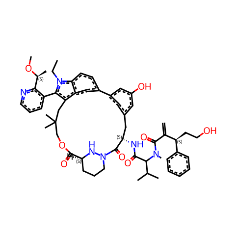 C=C(C(=O)N(C)C(C(=O)N[C@H]1Cc2cc(O)cc(c2)-c2ccc3c(c2)c(c(-c2cccnc2[C@H](C)OC)n3CC)CC(C)(C)COC(=O)[C@@H]2CCCN(N2)C1=O)C(C)C)[C@@H](CCO)c1ccccc1